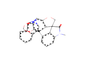 CCCCCN1C(=O)C2(COc3cc4c(cc32)OCO4)c2c(-c3cncc4ccccc34)cccc21